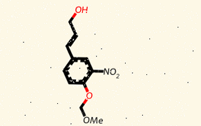 COCOc1ccc(C=CCO)cc1[N+](=O)[O-]